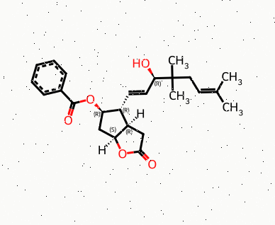 CC(C)=CCC(C)(C)[C@H](O)C=C[C@@H]1[C@H]2CC(=O)O[C@H]2C[C@H]1OC(=O)c1ccccc1